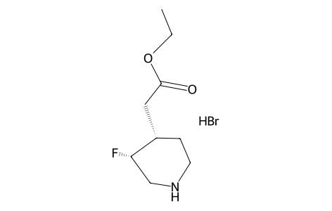 Br.CCOC(=O)C[C@@H]1CCNC[C@@H]1F